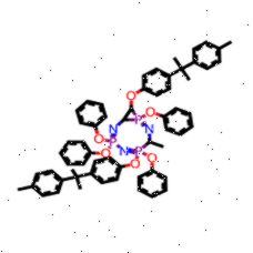 Cc1ccc(C(C)(C)c2ccc(OC3C4N=P(Oc5ccccc5)(Oc5ccccc5)N=P(Oc5ccccc5)(Oc5ccc(C(C)(C)c6ccc(C)cc6)cc5)C(C)N=P43Oc3ccccc3)cc2)cc1